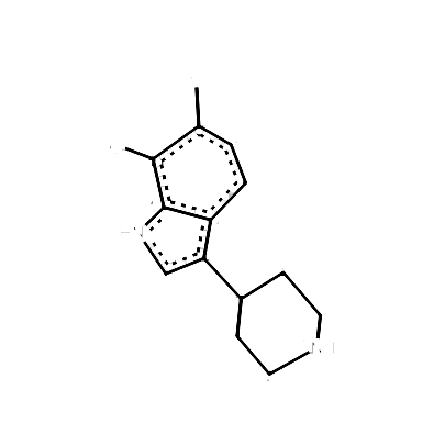 Clc1ccc2c(C3CCNCC3)c[nH]c2c1Cl